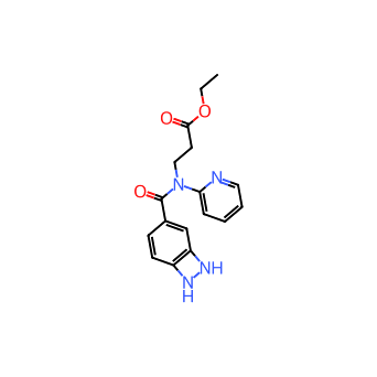 CCOC(=O)CCN(C(=O)c1ccc2[nH][nH]c2c1)c1ccccn1